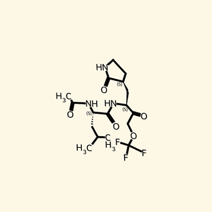 CC(=O)N[C@@H](CC(C)C)C(=O)N[C@@H](C[C@@H]1CCNC1=O)C(=O)COC(F)(F)F